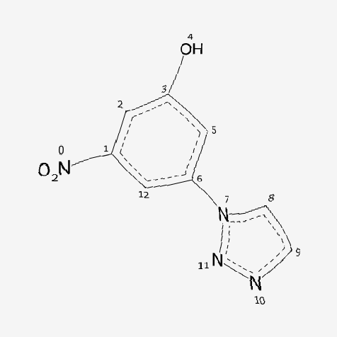 O=[N+]([O-])c1cc(O)cc(-n2ccnn2)c1